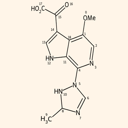 COc1cnc(N2C=NC(C)N2)c2[nH]cc(C(=O)C(=O)O)c12